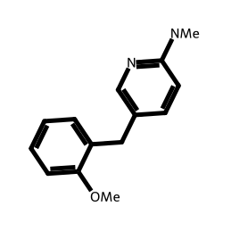 CNc1ccc(Cc2ccccc2OC)cn1